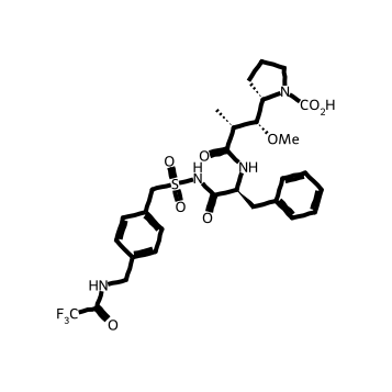 CO[C@H]([C@@H](C)C(=O)N[C@@H](Cc1ccccc1)C(=O)NS(=O)(=O)Cc1ccc(CNC(=O)C(F)(F)F)cc1)[C@@H]1CCCN1C(=O)O